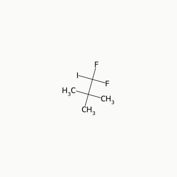 CC(C)(C)C(F)(F)I